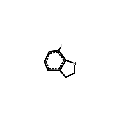 Fc1cccc2c1[N]CC2